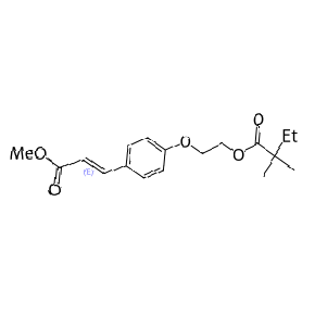 CCC(C)(C)C(=O)OCCOc1ccc(/C=C/C(=O)OC)cc1